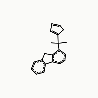 CC(C)(C1=CC=CC1)c1cccc2c1Cc1ccccc1-2